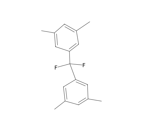 Cc1cc(C)cc(C(F)(F)c2cc(C)cc(C)c2)c1